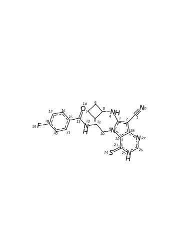 N#Cc1c(NC2CCC2)n(CCNC(=O)c2ccc(F)cc2)c2c(=S)[nH]cnc12